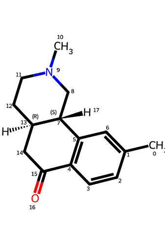 Cc1ccc2c(c1)[C@H]1CN(C)CC[C@@H]1CC2=O